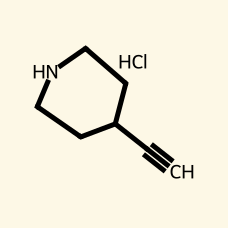 C#CC1CCNCC1.Cl